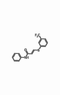 O=C(C=CSc1cccc(C(F)(F)F)c1)Nc1ccccc1